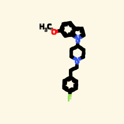 COc1ccc2ccn(C3CCN(CCc4ccc(F)cc4)CC3)c2c1